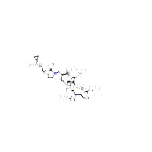 Nc1nc(/C(=N/O)C(=O)N[C@@H]2C(=O)N3C(C(=O)O)=C(/C=C4\CCN(CCNC5CC5)C4=O)CS[C@H]23)cs1